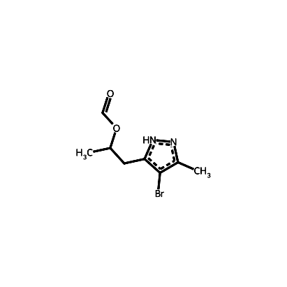 Cc1n[nH]c(CC(C)OC=O)c1Br